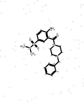 CN(C)S(=O)(=O)c1ccc(N)c(C(=O)N2CCN(Cc3ccccc3)CC2)c1